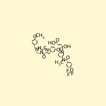 COc1ccc(CN2CCN(C(=O)c3cc4cc(Oc5ccc(N(C)C(=O)c6ccc(OC(F)(F)F)cc6)cn5)ccc4n3C)CC2)cc1.O=C(O)C=CC(=O)O